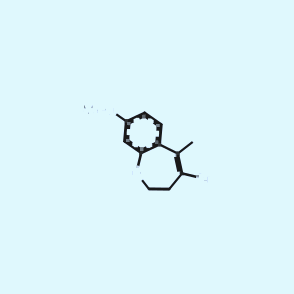 COc1ccc2c(c1)OCCC(Br)=C2C